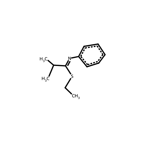 CCS/C(=N\c1ccccc1)C(C)C